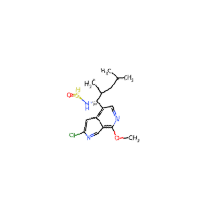 COc1ncc([C@H](N[SH]=O)C(C)CC(C)C)c2cc(Cl)ncc12